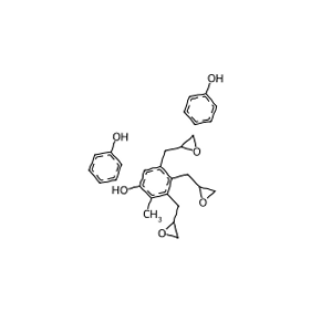 Cc1c(O)cc(CC2CO2)c(CC2CO2)c1CC1CO1.Oc1ccccc1.Oc1ccccc1